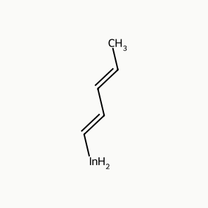 CC=CC=[CH][InH2]